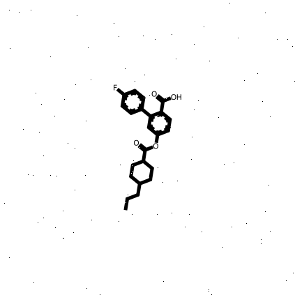 CCCC1CCC(C(=O)Oc2ccc(C(=O)O)c(-c3ccc(F)cc3)c2)CC1